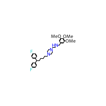 COc1cc(CNCCN2CCN(CCCCCC(c3ccc(F)cc3)c3ccc(F)cc3)CC2)cc(OC)c1OC